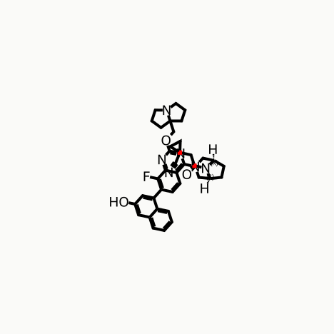 N#CC1(CC(=O)N2[C@@H]3CC[C@H]2CN(c2nc(OCC45CCCN4CCC5)nc4c(F)c(-c5cc(O)cc6ccccc56)ccc24)C3)CC1